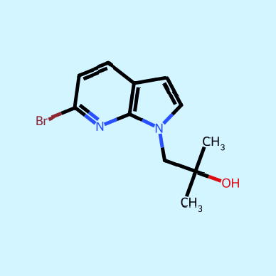 CC(C)(O)Cn1ccc2ccc(Br)nc21